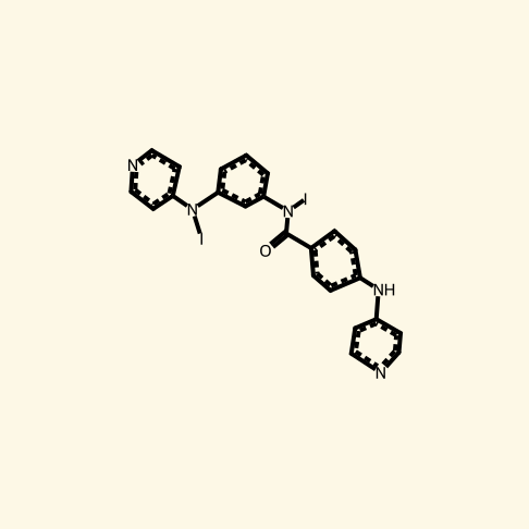 O=C(c1ccc(Nc2ccncc2)cc1)N(I)c1cccc(N(I)c2ccncc2)c1